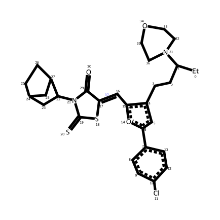 CCC(CCc1cc(-c2ccc(Cl)cc2)oc1/C=C1\SC(=S)N(C2CC3CCC2C3)C1=O)N1CCOCC1